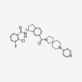 O=C(N[C@@H]1CCc2ccc(C(=O)N3CCC4(CCN(c5ccncc5)CC4)C3)cc21)c1cccc(F)c1Cl